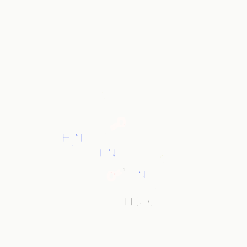 CC1(C)S[C@H]2N(C(=O)C2(C)NC(=O)C(N)c2ccc(C3CCCCC3)s2)[C@H]1C(=O)O